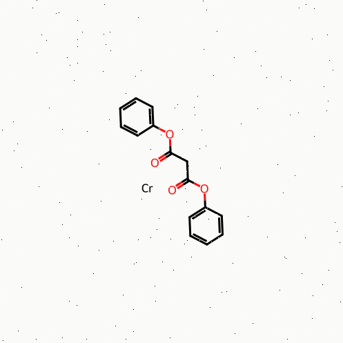 O=C(CC(=O)Oc1ccccc1)Oc1ccccc1.[Cr]